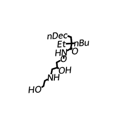 CCCCCCCCCCCC(CC)(CCCC)C(=O)NOCC(O)CNCCO